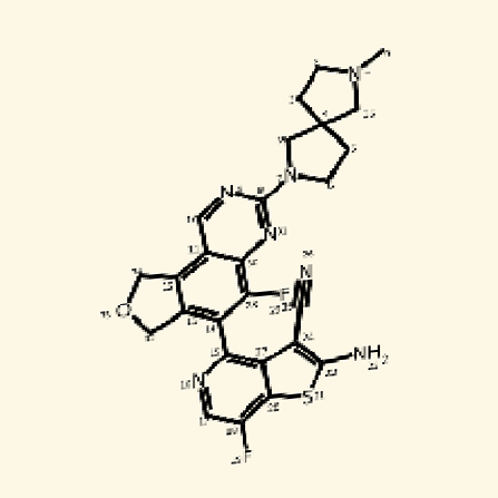 CN1CCC2(CCN(c3ncc4c5c(c(-c6ncc(F)c7sc(N)c(C#N)c67)c(F)c4n3)COC5)C2)C1